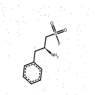 N[C@@H](Cc1ccccc1)CS(=O)(=O)F